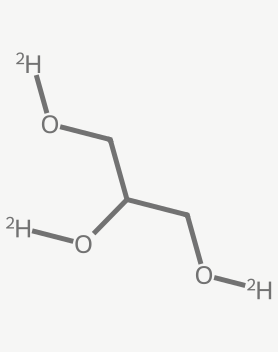 [2H]OCC(CO[2H])O[2H]